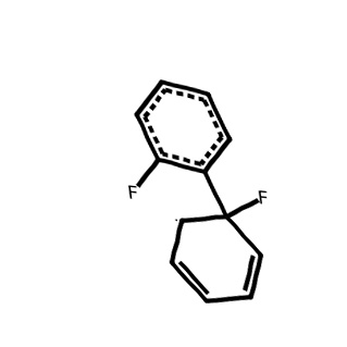 Fc1ccccc1C1(F)[CH]C=CC=C1